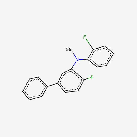 CC(C)(C)N(c1ccccc1F)c1cc(-c2ccccc2)ccc1F